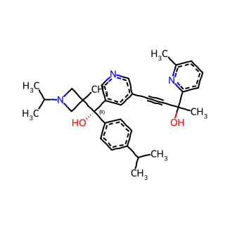 Cc1cccc(C(C)(O)C#Cc2cncc([C@@](O)(c3ccc(C(C)C)cc3)C3(C)CN(C(C)C)C3)c2)n1